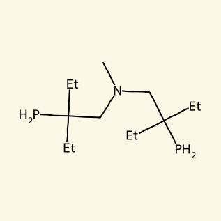 CCC(P)(CC)CN(C)CC(P)(CC)CC